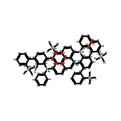 C[Si](C)(C)c1ccccc1-c1ccc(-c2ccccc2[Si](C)(C)C)c(N(c2ccccc2)c2ccc3ccc4c(N(c5ccccc5)c5c(-c6ccccc6[Si](C)(C)C)ccc(-c6ccccc6[Si](C)(C)C)c5F)ccc5ccc2c3c54)c1F